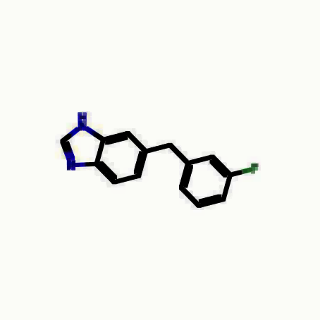 Fc1cccc(Cc2ccc3nc[nH]c3c2)c1